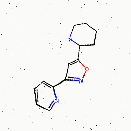 c1ccc(-c2cc(C3CCCC[N]3)on2)nc1